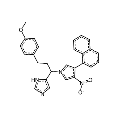 COc1ccc(CCC(c2cnc[nH]2)n2cc(-c3cccc4ccccc34)c([N+](=O)[O-])c2)cc1